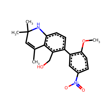 COc1ccc([N+](=O)[O-])cc1-c1ccc2c(c1CO)C(C)=CC(C)(C)N2